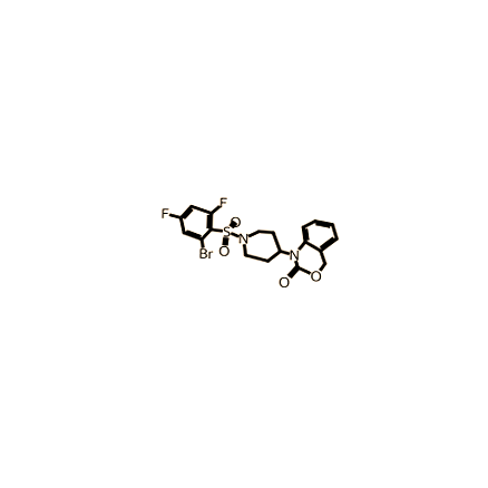 O=C1OCc2ccccc2N1C1CCN(S(=O)(=O)c2c(F)cc(F)cc2Br)CC1